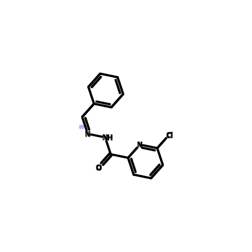 O=C(N/N=C\c1ccccc1)c1cccc(Cl)n1